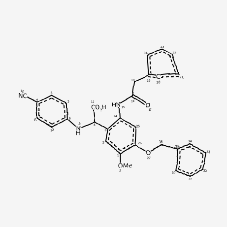 COc1cc(C(Nc2ccc(C#N)cc2)C(=O)O)c(NC(=O)Cc2ccccc2)cc1OCc1ccccc1